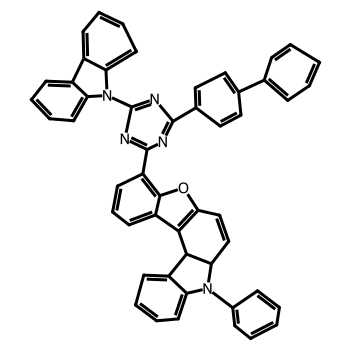 C1=CC2C(c3ccccc3N2c2ccccc2)c2c1oc1c(-c3nc(-c4ccc(-c5ccccc5)cc4)nc(-n4c5ccccc5c5ccccc54)n3)cccc21